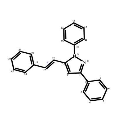 [c]1c(-c2ccccc2)nn(-c2ccccc2)c1/C=C/c1ccccc1